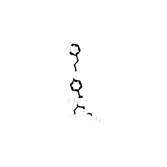 CC(C)CC(NC(=O)c1ccc(OCCCc2cccnc2)cc1)C(=O)NCC#N